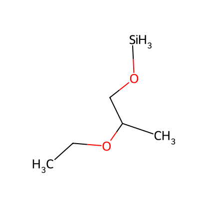 CCOC(C)CO[SiH3]